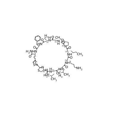 CCCC[C@@H]1NC(=O)[C@H](CCCCN)NC(=O)C(CC(C)C)NC(=O)[C@H](CC(C)C)NC(=O)[C@@H]2CSC(=N2)c2cc(cs2)CC(C(N)=O)NC(=O)C(Cc2ccccc2)NC(=O)[C@H](C)NC(=O)[C@H](C)NC(=O)[C@@H]2CCCN2C1=O